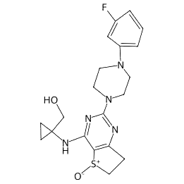 [O-][S+]1CCc2nc(N3CCN(c4cccc(F)c4)CC3)nc(NC3(CO)CC3)c21